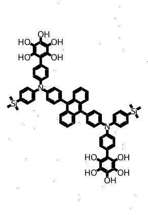 C[Si](C)(C)c1ccc(N(c2ccc(-c3c(O)c(O)c(O)c(O)c3O)cc2)c2ccc(-c3c4ccccc4c(-c4ccc(N(c5ccc(-c6c(O)c(O)c(O)c(O)c6O)cc5)c5ccc([Si](C)(C)C)cc5)cc4)c4ccccc34)cc2)cc1